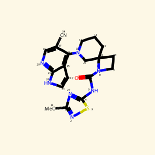 COc1nsc(NC(=O)N2CCC23CCCN(c2c(C#N)cnc4[nH]ccc24)C3)n1